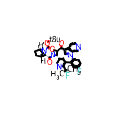 CC(C)(C)OC(=O)N1[C@@H]2CC[C@@H](C2)[C@H]1C(=O)N1CC(C(=O)c2cn(-c3ccc(F)cc3-c3cccnc3C(C)(C)F)c3cnccc23)C1